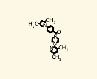 C=C1CC(C)CN1c1ccc(C(=O)N2CCN(c3ncc(C)cc3C)CC2)cc1